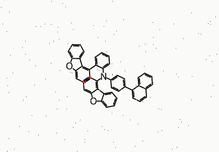 c1ccc(N(c2ccc(-c3cccc4ccccc34)cc2)c2cccc3oc4ccccc4c23)c(-c2cccc3oc4ccccc4c23)c1